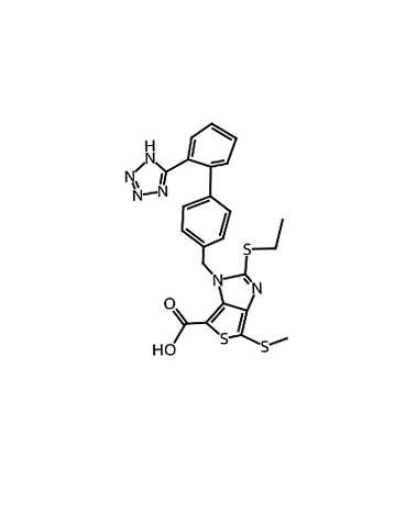 CCSc1nc2c(SC)sc(C(=O)O)c2n1Cc1ccc(-c2ccccc2-c2nnn[nH]2)cc1